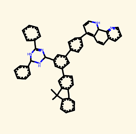 CC1(C)c2ccccc2-c2ccc(-c3cc(-c4ccc(C5=C6C=Cc7cccnc7C6NC=C5)cc4)cc(C4N=C(c5ccccc5)NC(c5ccccc5)N4)c3)cc21